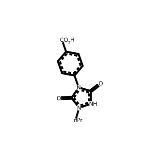 CCCn1[nH]c(=O)n(-c2ccc(C(=O)O)cc2)c1=O